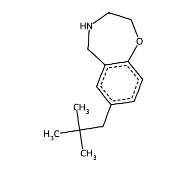 CC(C)(C)Cc1ccc2c(c1)CNCCO2